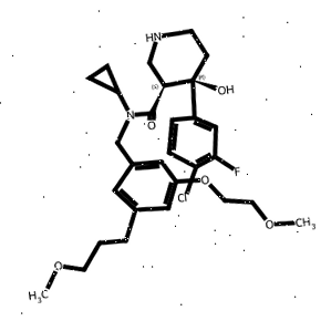 COCCCc1cc(CN(C(=O)[C@H]2CNCC[C@]2(O)c2ccc(Cl)c(F)c2)C2CC2)cc(OCCOC)c1